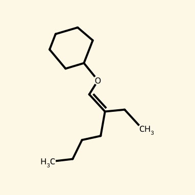 CCCC/C(=C/OC1CCCCC1)CC